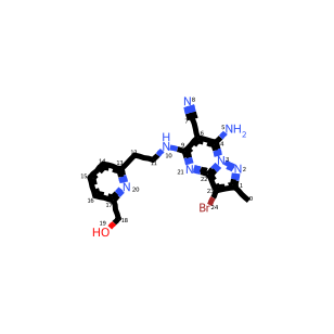 Cc1nn2c(N)c(C#N)c(NCCc3cccc(CO)n3)nc2c1Br